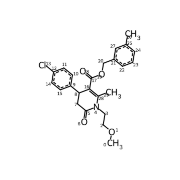 COCCN1C(=O)CC(c2ccc(Cl)cc2)C(C(=O)OCc2cccc(C)c2)=C1C